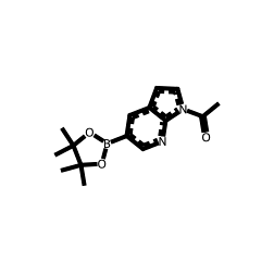 CC(=O)n1ccc2cc(B3OC(C)(C)C(C)(C)O3)cnc21